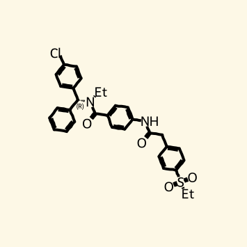 CCN(C(=O)c1ccc(NC(=O)Cc2ccc(S(=O)(=O)CC)cc2)cc1)[C@H](c1ccccc1)c1ccc(Cl)cc1